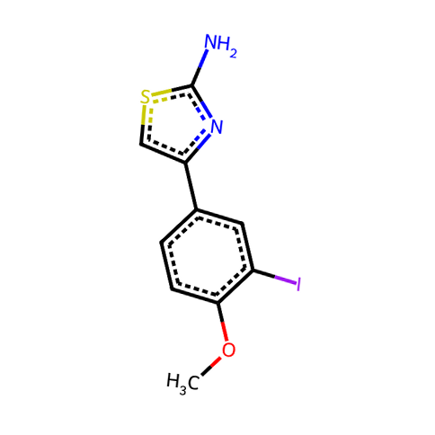 COc1ccc(-c2csc(N)n2)cc1I